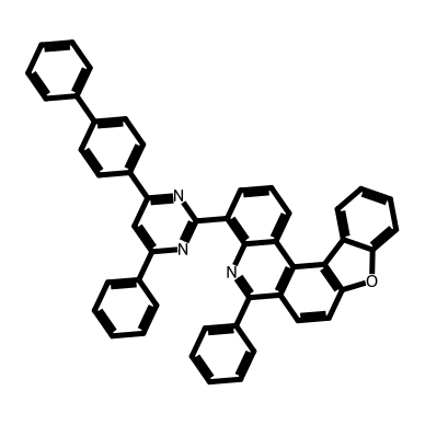 c1ccc(-c2ccc(-c3cc(-c4ccccc4)nc(-c4cccc5c4nc(-c4ccccc4)c4ccc6oc7ccccc7c6c45)n3)cc2)cc1